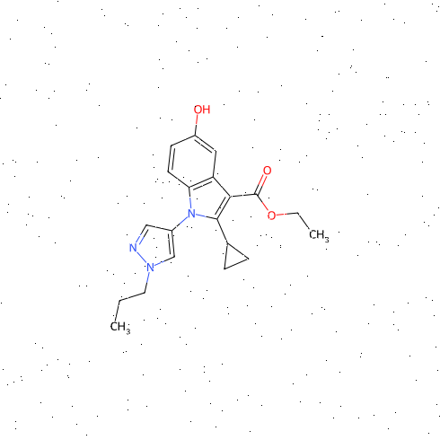 CCCn1cc(-n2c(C3CC3)c(C(=O)OCC)c3cc(O)ccc32)cn1